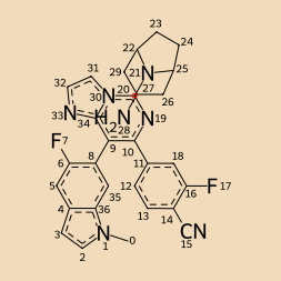 Cn1ccc2cc(F)c(-c3c(-c4ccc(C#N)c(F)c4)nc(N4C5CCC4CC(N)C5)n4ccnc34)cc21